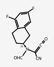 N#CC(=C=O)N(C=O)[C@H]1CCc2c(F)cc(F)cc2C1